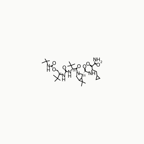 CC(C)(C)NC(=O)OC[C@@H](NC(=O)N[C@H](C(=O)N1CC2C([C@H]1C(=O)NC(CC1CC1)C(=O)C(N)=O)C2(C)C)C(C)(C)C)C(C)(C)C